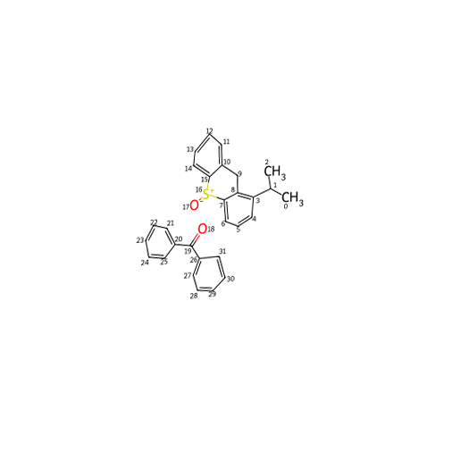 CC(C)c1cccc2c1Cc1ccccc1[S+]2[O-].O=C(c1ccccc1)c1ccccc1